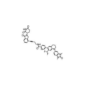 Cn1c(=O)n(C)c2cc(N3CCCc4cc(-c5ccc(C(=O)NCCC#Cc6cccc7c6CN(C6CCC(=O)NC6=O)C7=O)nc5)c(C(F)F)cc43)ccc21